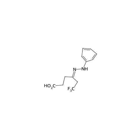 O=C(O)CCC(CC(F)(F)F)=NNc1ccccc1